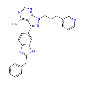 Nc1ncnc2c1c(-c1ccc3nc(Cc4ccccc4)[nH]c3c1)nn2CCCc1cccnc1